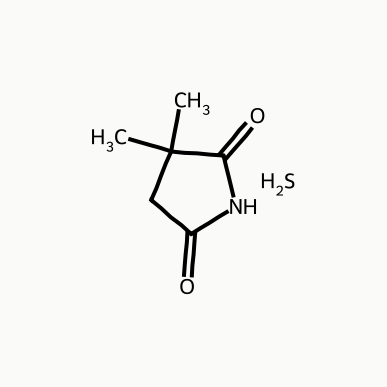 CC1(C)CC(=O)NC1=O.S